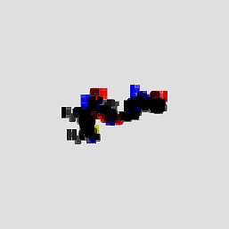 Cc1ncsc1-c1ccc([C@H](C)NC(=O)[C@@H]2C[C@@H](O)CN2C(=O)[C@@H](c2cc(OCCN3CCN4c5cc(-c6ccccc6O)nnc5NC[C@H]4C3)no2)C(C)C)cc1